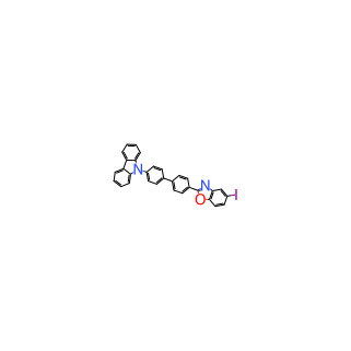 Ic1ccc2oc(-c3ccc(-c4ccc(-n5c6ccccc6c6ccccc65)cc4)cc3)nc2c1